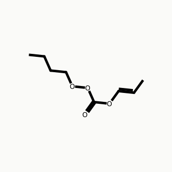 CC=COC(=O)OOCCCC